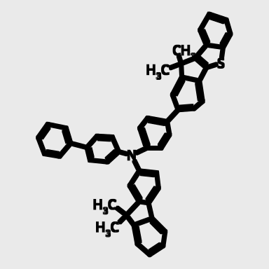 CC1(C)c2ccccc2-c2ccc(N(c3ccc(-c4ccccc4)cc3)c3ccc(-c4ccc5c(c4)C(C)(C)c4c-5sc5ccccc45)cc3)cc21